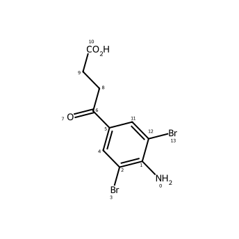 Nc1c(Br)cc(C(=O)CCC(=O)O)cc1Br